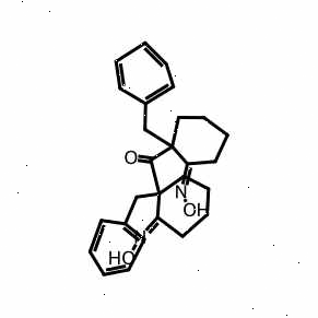 O=C(C1(Cc2ccccc2)CCCCC1=NO)C1(Cc2ccccc2)CCCCC1=NO